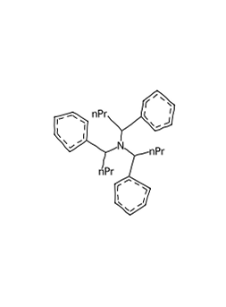 CCCC(c1ccccc1)N(C(CCC)c1ccccc1)C(CCC)c1ccccc1